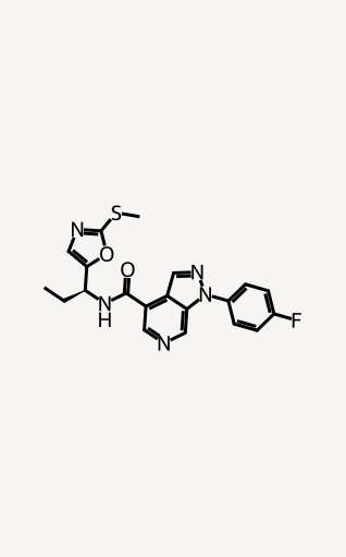 CC[C@H](NC(=O)c1cncc2c1cnn2-c1ccc(F)cc1)c1cnc(SC)o1